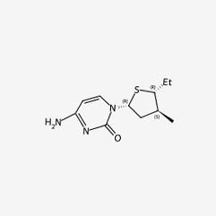 CC[C@H]1S[C@@H](n2ccc(N)nc2=O)C[C@@H]1C